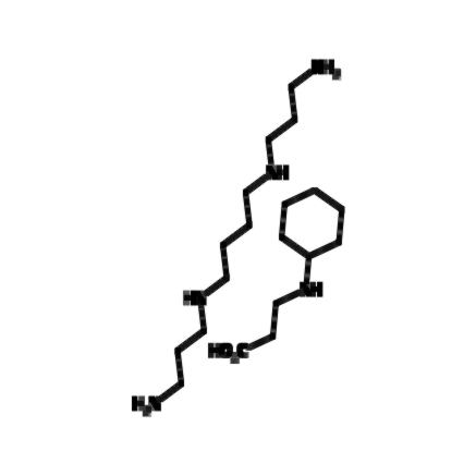 NCCCNCCCCNCCCN.O=C(O)CCNC1CCCCC1